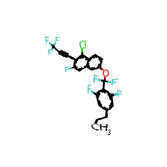 CCCc1cc(F)c(C(F)(F)Oc2ccc3c(Cl)c(C#CC(F)(F)F)c(F)cc3c2)c(F)c1